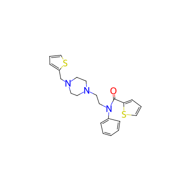 O=C(c1cccs1)N(CCN1CCN(Cc2cccs2)CC1)c1ccccc1